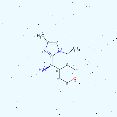 CCn1cc(C)nc1[C@H](N)C1CCOCC1